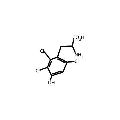 NC(Cc1c(Cl)cc(O)c(Cl)c1Cl)C(=O)O